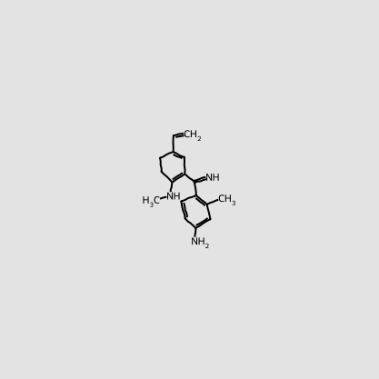 C=CC1=CC(C(=N)c2ccc(N)cc2C)=C(NC)CC1